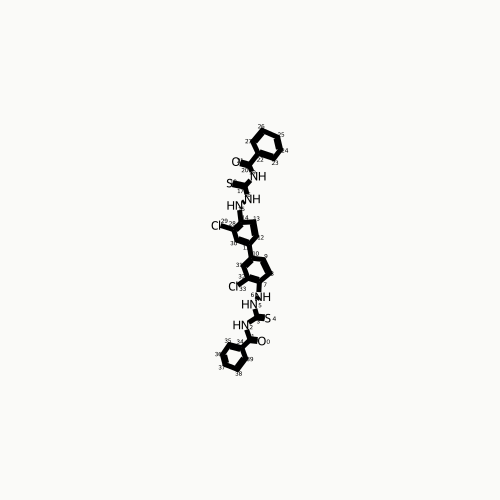 O=C(NC(=S)NNc1ccc(-c2ccc(NNC(=S)NC(=O)c3ccccc3)c(Cl)c2)cc1Cl)c1ccccc1